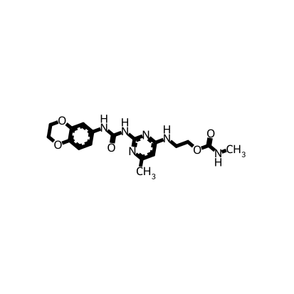 CNC(=O)OCCNc1cc(C)nc(NC(=O)Nc2ccc3c(c2)OCCO3)n1